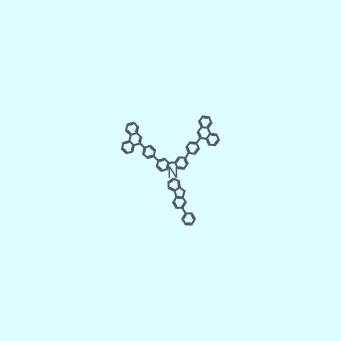 c1ccc(-c2ccc3c(c2)Cc2cc(-n4c5ccc(-c6ccc(-c7cc8ccccc8c8ccccc78)cc6)cc5c5cc(-c6ccc(-c7cc8ccccc8c8ccccc78)cc6)ccc54)ccc2-3)cc1